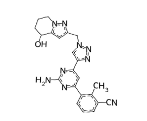 Cc1c(C#N)cccc1-c1cc(-c2cn(Cc3cc4n(n3)CCCC4O)nn2)nc(N)n1